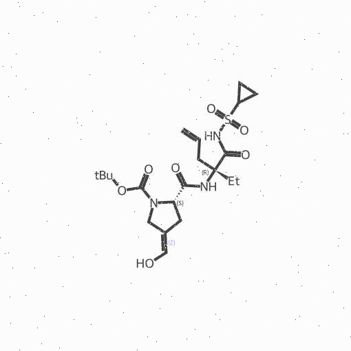 C=CC[C@@](CC)(NC(=O)[C@@H]1C/C(=C/O)CN1C(=O)OC(C)(C)C)C(=O)NS(=O)(=O)C1CC1